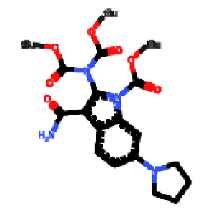 CC(C)(C)OC(=O)N(C(=O)OC(C)(C)C)c1c(C(N)=O)c2ccc(N3CCCC3)cc2n1C(=O)OC(C)(C)C